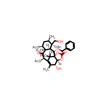 CC(=O)O[C@H]1C(=O)[C@]2(C)[C@@H](OC(C)=O)C[C@@H](C)[C@](CO)(OC(C)=O)[C@H]2[C@H](OC(=O)c2ccccc2)[C@]23OC(=O)O[C@H]2[C@H](O)C(C)=C1C3(C)C